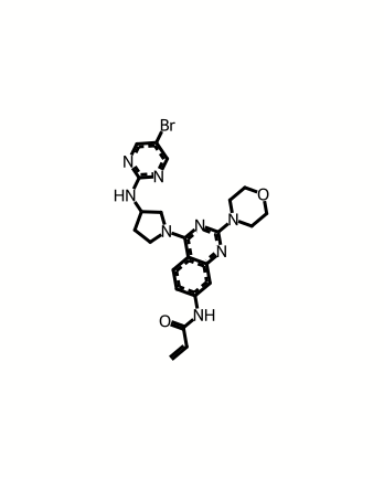 C=CC(=O)Nc1ccc2c(N3CCC(Nc4ncc(Br)cn4)C3)nc(N3CCOCC3)nc2c1